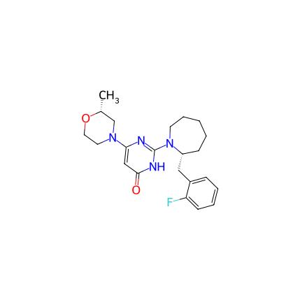 C[C@@H]1CN(c2cc(=O)[nH]c(N3CCCCC[C@@H]3Cc3ccccc3F)n2)CCO1